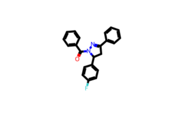 O=C(c1ccccc1)N1N=C(c2ccccc2)CC1c1ccc(F)cc1